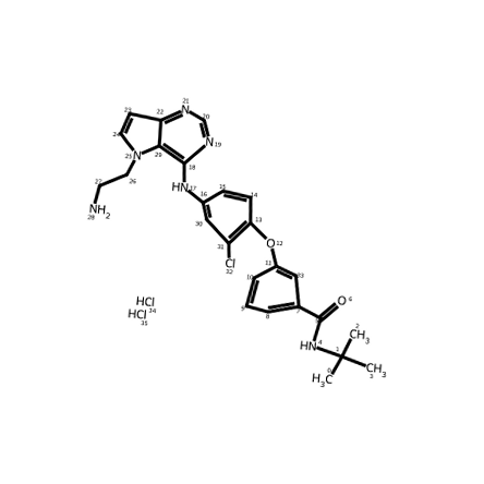 CC(C)(C)NC(=O)c1cccc(Oc2ccc(Nc3ncnc4ccn(CCN)c34)cc2Cl)c1.Cl.Cl